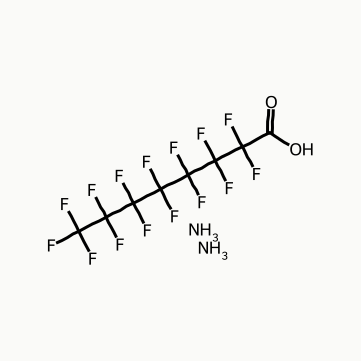 N.N.O=C(O)C(F)(F)C(F)(F)C(F)(F)C(F)(F)C(F)(F)C(F)(F)C(F)(F)F